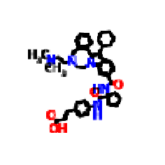 CN(C)CCN1CCn2c(c(C3CCCCC3)c3ccc(C(=O)NC4(C(=O)Nc5ccc(C=CC(=O)O)cc5)CCCC4)cc32)-c2ccccc2C1